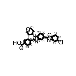 O=C(O)c1ccc(-c2nc3cc(-c4nc5cc(Cl)ccc5o4)ccc3n2C2CCOCC2)cc1